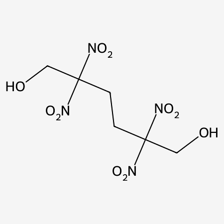 O=[N+]([O-])C(CO)(CCC(CO)([N+](=O)[O-])[N+](=O)[O-])[N+](=O)[O-]